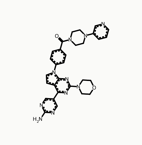 Nc1ncc(-c2nc(N3CCOCC3)nc3c2ccn3-c2ccc(C(=O)N3CCN(c4cccnc4)CC3)cc2)cn1